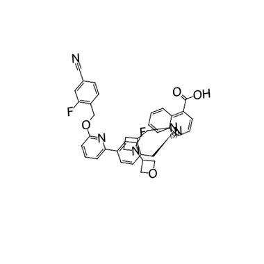 N#Cc1ccc(COc2cccc(-c3ccc(C[C@@H]4N=C5C=CC(C(=O)O)=C6C=CC=CC56N4CC4CCN4C4COC4)c(F)c3)n2)c(F)c1